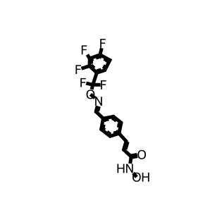 O=C(C=Cc1ccc(C=NOC(F)(F)c2ccc(F)c(F)c2F)cc1)NO